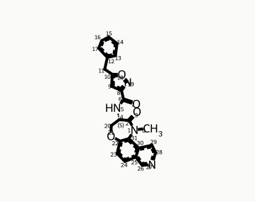 CN1C(=O)[C@@H](NC(=O)c2cc(Cc3ccccc3)on2)COc2ccc3cnccc3c21